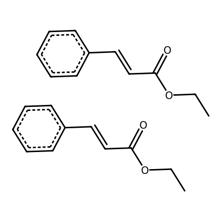 CCOC(=O)C=Cc1ccccc1.CCOC(=O)C=Cc1ccccc1